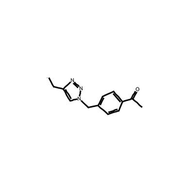 [CH2]Cc1cn(Cc2ccc(C(C)=O)cc2)nn1